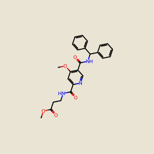 COC(=O)CCNC(=O)c1cc(OC)c(C(=O)NC(c2ccccc2)c2ccccc2)cn1